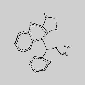 NCC(c1ccccc1)c1c2c(nc3ccccc13)NCC2.O